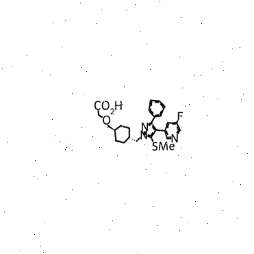 CSc1c(-c2cncc(F)c2)c(-c2ccccc2)nn1C[C@H]1CC[C@H](COCC(=O)O)CC1